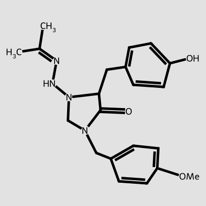 COc1ccc(CN2CN(NN=C(C)C)C(Cc3ccc(O)cc3)C2=O)cc1